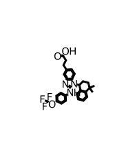 CC1(C)CCC(n2c(Nc3ccc(OC(F)(F)F)cc3)nc3cc(CCC(=O)O)ccc32)c2ccccc21